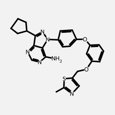 Cc1ncc(COc2cccc(Oc3ccc(-n4nc(C5CCCC5)c5ncnc(N)c54)cc3)c2)s1